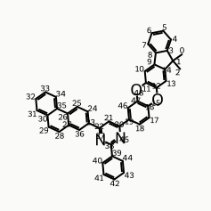 CC1(C)c2ccccc2-c2cc3c(cc21)Oc1ccc(-c2cc(-c4ccc5c(ccc6ccccc65)c4)nc(-c4ccccc4)n2)cc1O3